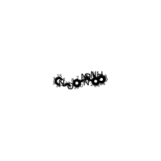 Nc1c(-c2nc(-c3ccc(OCCN4CCCCC4)cc3)no2)ccc2ccccc12